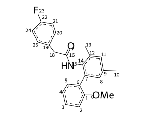 COc1ccccc1-c1cc(C)cc(C)c1NC(=O)Cc1ccc(F)cc1